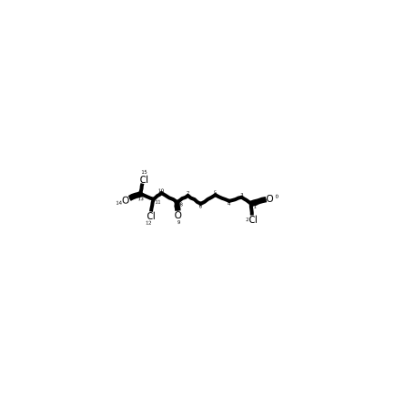 O=C(Cl)CCCCCC(=O)CC(Cl)C(=O)Cl